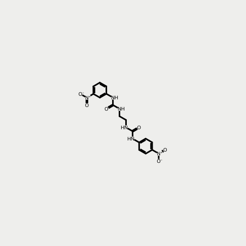 O=C(NCCNC(=O)Nc1cccc([N+](=O)[O-])c1)Nc1ccc([N+](=O)[O-])cc1